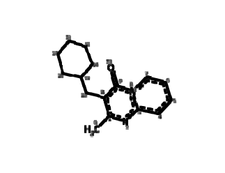 Cc1nc2ccccn2c(=O)c1CC1CCCCC1